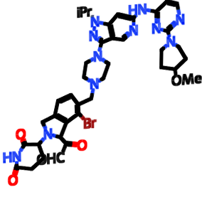 COC1CCN(c2nccc(Nc3cc4c(cn3)c(N3CCN(Cc5ccc6c(c5Br)C(C(=O)C=O)N(C5CCC(=O)NC5=O)C6)CC3)nn4C(C)C)n2)CC1